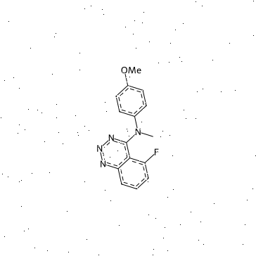 COc1ccc(N(C)c2nnnc3cccc(F)c23)cc1